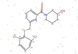 O=C(c1cccc(CSc2c(Cl)cccc2Cl)n1)N1CCCC(O)C1